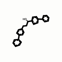 O[C@H](CCc1ccc(-c2ccccc2)cc1)c1ccc(-c2ccccc2)cc1